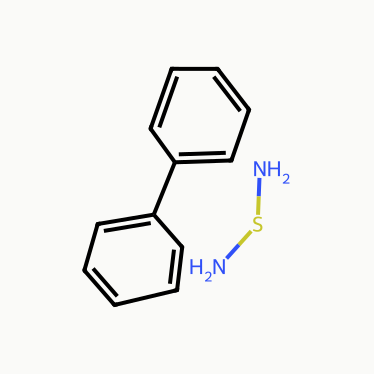 NSN.c1ccc(-c2ccccc2)cc1